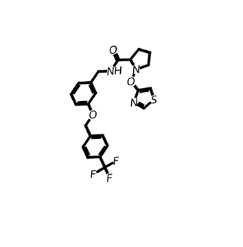 O=C(NCc1cccc(OCc2ccc(C(F)(F)F)cc2)c1)C1CCCN1Oc1cscn1